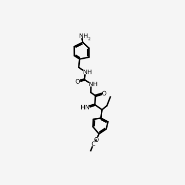 CCOc1ccc(C(CC)C(=N)C(=O)CNC(=O)NCc2ccc(N)cc2)cc1